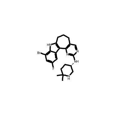 CC1(C)CC[C@H](Nc2ncc3c(n2)-c2c([nH]c4c(Br)cc(F)cc24)CCC3)CN1